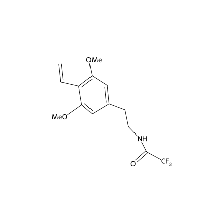 C=Cc1c(OC)cc(CCNC(=O)C(F)(F)F)cc1OC